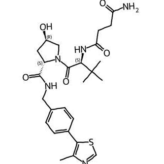 Cc1ncsc1-c1ccc(CNC(=O)[C@@H]2C[C@@H](O)CN2C(=O)[C@@H](NC(=O)CCC(N)=O)C(C)(C)C)cc1